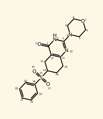 O=c1[nH]c(N2CCOCC2)nc2c1CC(S(=O)(=O)c1ccccc1)CC2